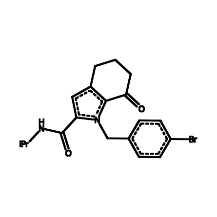 CC(C)NC(=O)c1cc2c(n1Cc1ccc(Br)cc1)C(=O)CCC2